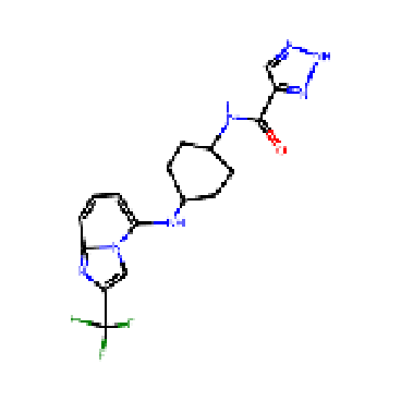 O=C(NC1CCC(Nc2cccc3nc(C(F)(F)F)cn23)CC1)c1cn[nH]n1